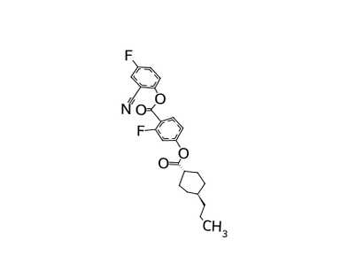 CCC[C@H]1CC[C@H](C(=O)Oc2ccc(C(=O)Oc3ccc(F)cc3C#N)c(F)c2)CC1